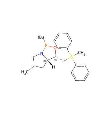 CC1C[C@H]2[C@@H](CS(C)(c3ccccc3)c3ccccc3)OP(C(C)(C)C)N2C1